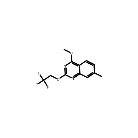 COc1nc(OCC(F)(F)F)nc2cc(C)ccc12